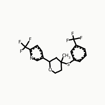 CC1(Sc2cccc(C(F)(F)F)c2)CCOC(c2ccc(C(F)(F)F)nc2)C1